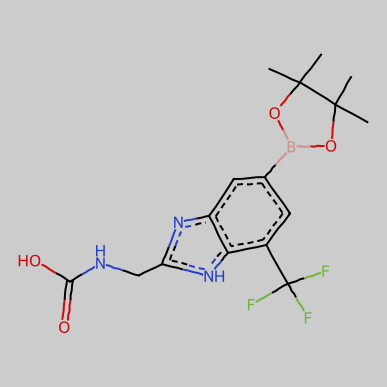 CC1(C)OB(c2cc(C(F)(F)F)c3[nH]c(CNC(=O)O)nc3c2)OC1(C)C